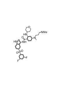 CNCCCN(C)c1ccc(C(=O)Nc2n[nH]c3ccc(S(=O)(=O)c4cc(F)cc(F)c4)cc23)c(NC2CCOCC2)c1